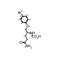 NC(=O)CC[C@@H](COc1ccc(Br)cc1)NC(=O)O